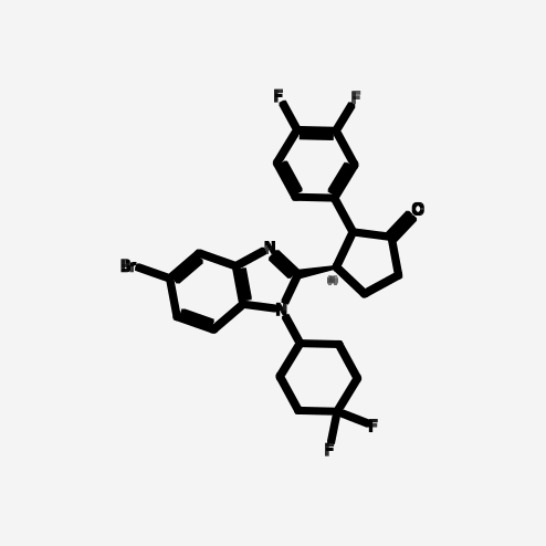 O=C1CC[C@@H](c2nc3cc(Br)ccc3n2C2CCC(F)(F)CC2)C1c1ccc(F)c(F)c1